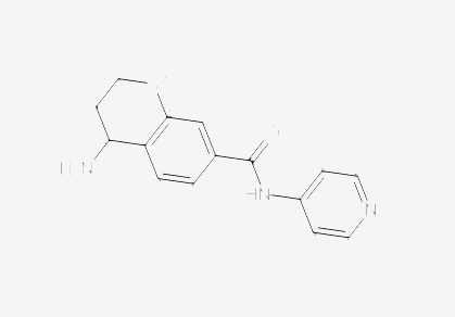 NC1CCSc2cc(C(=O)Nc3ccncc3)ccc21